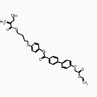 C=COC(=O)COc1ccc(-c2ccc(C(=O)Oc3ccc(OCCCCOC(=O)C(=C)CO)cc3)cc2)cc1